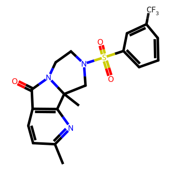 Cc1ccc2c(n1)C1(C)CN(S(=O)(=O)c3cccc(C(F)(F)F)c3)CCN1C2=O